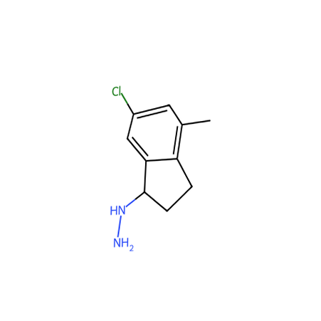 Cc1cc(Cl)cc2c1CCC2NN